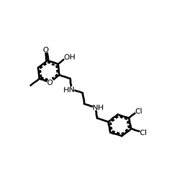 Cc1cc(=O)c(O)c(CNCCNCc2ccc(Cl)c(Cl)c2)o1